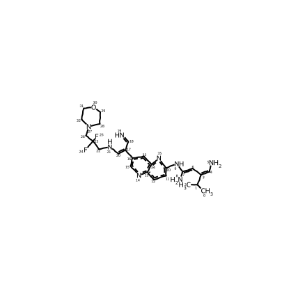 CC(C)C(=C/N)/C=C(\N)Nc1ccc2ncc(/C(C=N)=C/NCC(F)(F)CN3CCOCC3)cc2n1